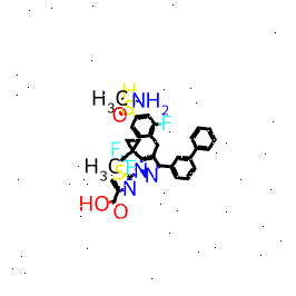 CC(F)(F)C1(c2c(Cc3ccc([SH](C)(N)=O)cc3F)c(-c3cccc(-c4ccccc4)c3)nn2-c2nc(C(=O)O)cs2)CC1